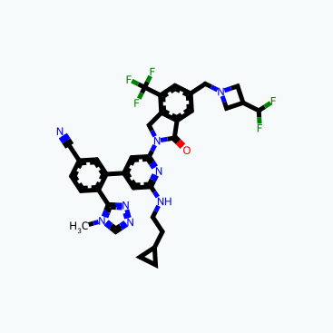 Cn1cnnc1-c1ccc(C#N)cc1-c1cc(NCCC2CC2)nc(N2Cc3c(cc(CN4CC(C(F)F)C4)cc3C(F)(F)F)C2=O)c1